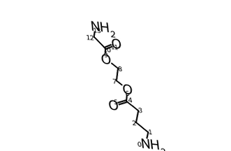 NCCCC(=O)OCCOC(=O)CN